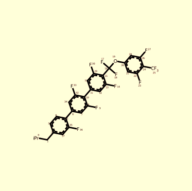 CC(C)Cc1ccc(-c2cc(F)c(-c3cc(F)c(C(F)(F)Oc4cc(F)c(C(F)(F)F)c(F)c4)c(F)c3)c(F)c2)c(F)c1